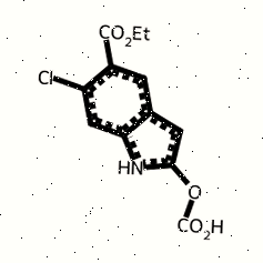 CCOC(=O)c1cc2cc(OC(=O)O)[nH]c2cc1Cl